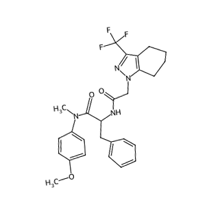 COc1ccc(N(C)C(=O)C(Cc2ccccc2)NC(=O)Cn2nc(C(F)(F)F)c3c2CCCC3)cc1